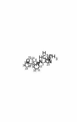 Cc1c(CNCCC2(c3ccccn3)CCOC3(CCCC3)C2)cnn1C